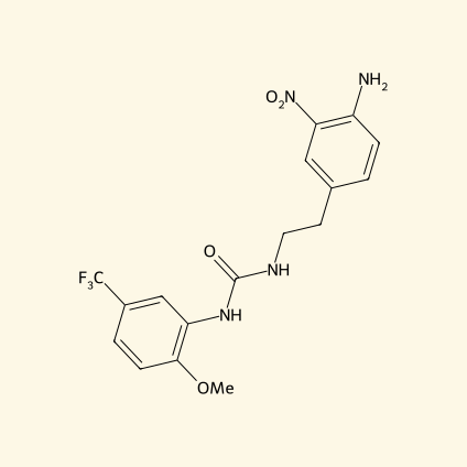 COc1ccc(C(F)(F)F)cc1NC(=O)NCCc1ccc(N)c([N+](=O)[O-])c1